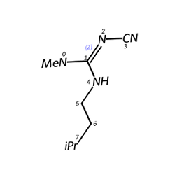 CN/C(=N/C#N)NCCC(C)C